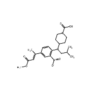 COC(=O)C=C(C)c1ccc(N(CC(C)C)C2CCN(C(=O)O)CC2)c([N+](=O)[O-])c1